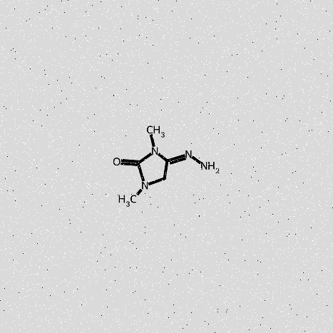 CN1CC(=NN)N(C)C1=O